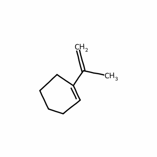 C=C(C)C1=CCCCC1